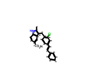 Cc1[nH]c2ccc(C(=O)O)cc2c1Cc1ccc(C=Cc2ccccc2)cc1Cl